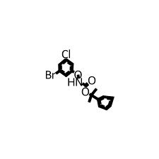 CC(C)(OC(=O)NOc1cc(Cl)cc(Br)c1)c1ccccc1